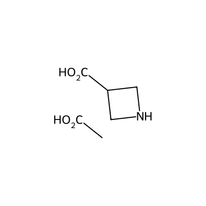 CC(=O)O.O=C(O)C1CNC1